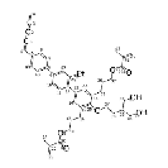 C=C=C=C=Cc1ccc(-c2ccc(-c3cc(CCCOC(=O)C(=C)C)c(OCCC(CO)CO)c(CCCOC(=O)C(=C)C)c3)c(CC)c2)cc1